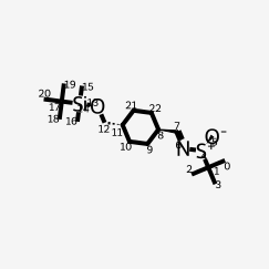 CC(C)(C)[S@+]([O-])/N=C/[C@H]1CC[C@H](CO[Si](C)(C)C(C)(C)C)CC1